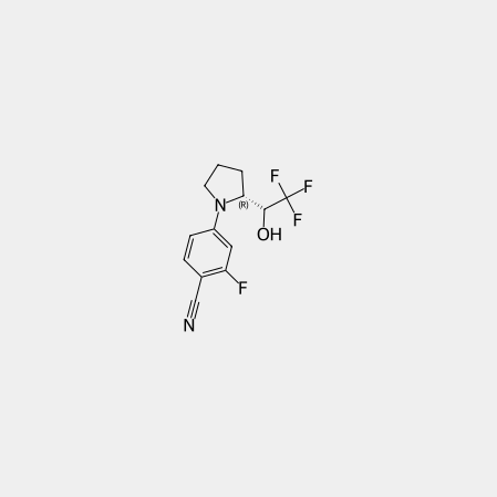 N#Cc1ccc(N2CCC[C@@H]2C(O)C(F)(F)F)cc1F